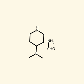 CN(C)C1CCNCC1.NC=O